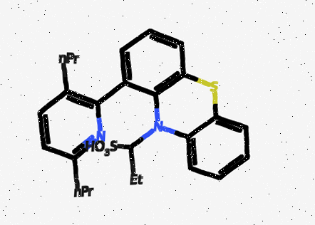 CCCc1ccc(CCC)c(-c2cccc3c2N(C(CC)S(=O)(=O)O)c2ccccc2S3)n1